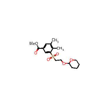 COC(=O)c1cc(C)c(C)c(S(=O)(=O)CCOC2CCCCO2)c1